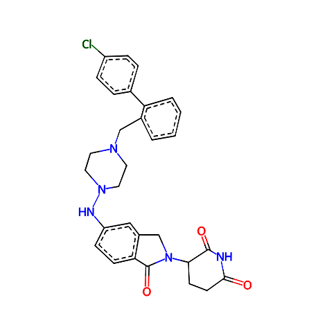 O=C1CCC(N2Cc3cc(NN4CCN(Cc5ccccc5-c5ccc(Cl)cc5)CC4)ccc3C2=O)C(=O)N1